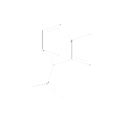 O=C(O)C1=C2C=CC3(COC=C13)O2